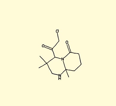 CC1(C)CNC2(C)CCCC(=O)N2C1C(=O)CCl